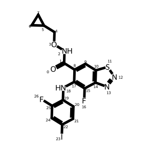 O=C(NOCC1CC1)c1cc2snnc2c(F)c1Nc1ccc(I)cc1F